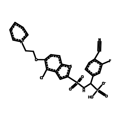 N#Cc1ccc(C(NS(=O)(=O)c2cc3c(Cl)c(OCC[n+]4ccccc4)ccc3s2)P(=O)([O-])O)cc1F